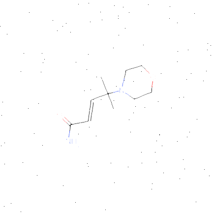 CC(C)(C=CC(N)=O)N1CCOCC1